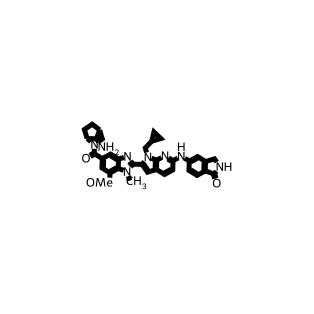 COc1cc(C(=O)N2CC3CCC2C3N)cc2nc(-c3cc4ccc(Nc5ccc6c(c5)CNC6=O)nc4n3CC3CC3)n(C)c12